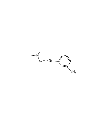 CN(C)CC#Cc1cccc(N)c1